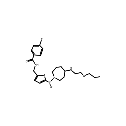 CCCOCCNC1CCCN([S+]([O-])c2ccc(CNC(=O)c3ccc(Cl)cc3)s2)CC1